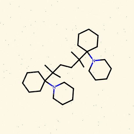 CC(C)(CCC(C)(C)C1(N2CCCCC2)CCCCC1)C1(N2CCCCC2)CCCCC1